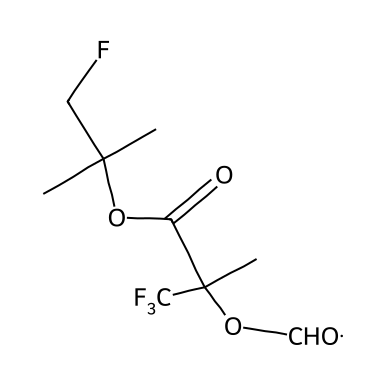 CC(C)(CF)OC(=O)C(C)(O[C]=O)C(F)(F)F